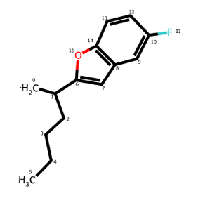 [CH2]C(CCCC)c1cc2cc(F)ccc2o1